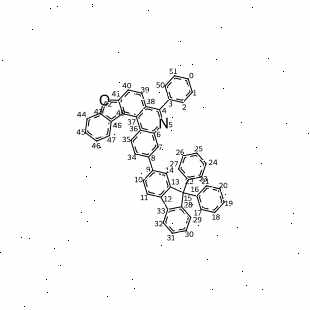 c1ccc(-c2nc3cc(-c4ccc5c(c4)C(c4ccccc4)(c4ccccc4)c4ccccc4-5)ccc3c3c2ccc2oc4ccccc4c23)cc1